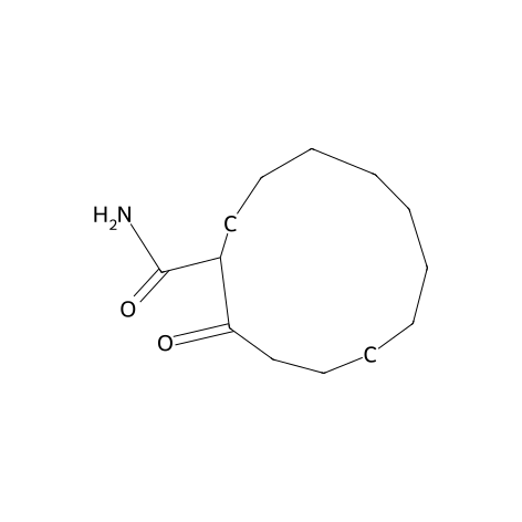 NC(=O)C1CCCCCCCCCCC1=O